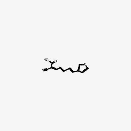 N#CC(=CC=CC=Cc1ccsc1)C(=O)O